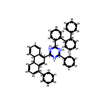 C1=CC2=C(c3nc(-c4ccccc4)nc(-c4ccccc4-c4ccccc4-c4ccccc4)n3)C=C3C(c4ccccc4)=CC=CC3C2C=C1